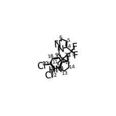 FC(F)(F)c1ccnn1CC12CNCCC1(c1ccc(Cl)c(Cl)c1)C2